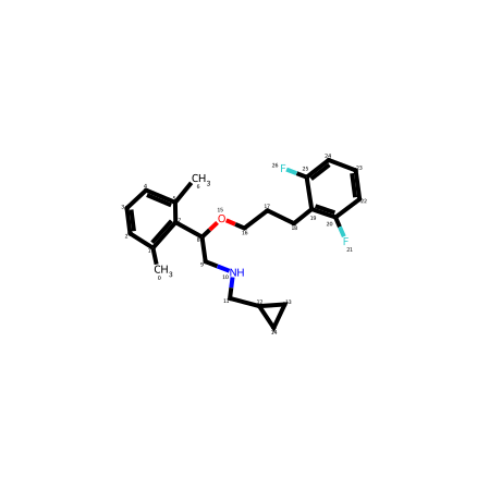 Cc1cccc(C)c1C(CNCC1CC1)OCCCc1c(F)cccc1F